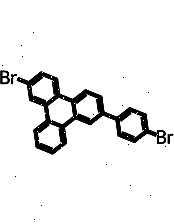 Brc1ccc(-c2ccc3c4ccc(Br)cc4c4ccccc4c3c2)cc1